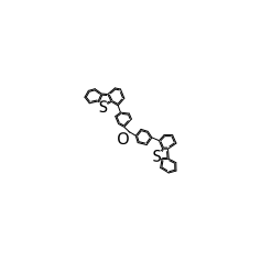 O=C(c1ccc(-c2cccc3c2sc2ccccc23)cc1)c1ccc(-c2cccc3c2sc2ccccc23)cc1